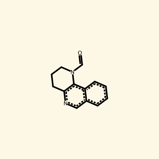 O=CN1CCCc2ncc3ccccc3c21